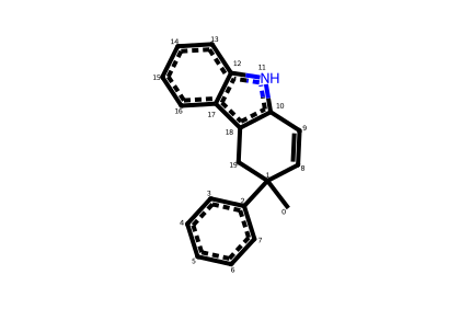 CC1(c2ccccc2)C=Cc2[nH]c3ccccc3c2C1